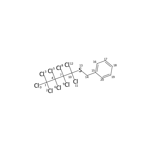 ClC(Cl)(Cl)C(Cl)(Cl)C(Cl)(Cl)C(Cl)(Cl)SCc1ccccc1